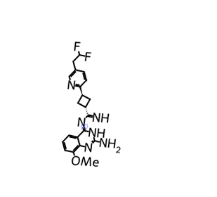 COc1cccc2/c(=N/C(=N)[C@H]3C[C@H](c4ccc(CC(F)F)cn4)C3)[nH]c(N)nc12